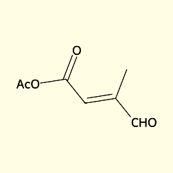 CC(=O)OC(=O)C=C(C)C=O